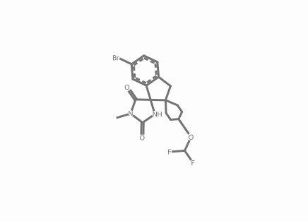 CN1C(=O)NC2(C1=O)c1cc(Br)ccc1CC21CCC(OC(F)F)CC1